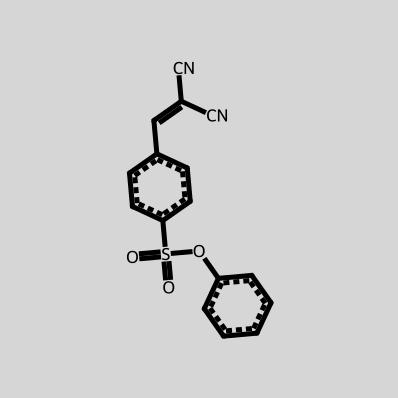 N#CC(C#N)=Cc1ccc(S(=O)(=O)Oc2ccccc2)cc1